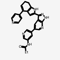 CCC(=O)Nc1cncc(-c2cnc3[nH]nc(-c4cc5c([nH]4)CCC=C5c4ccncc4)c3c2)c1